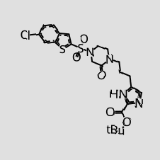 CC(C)(C)OC(=O)c1ncc(CCCN2CCN(S(=O)(=O)c3cc4ccc(Cl)cc4s3)CC2=O)[nH]1